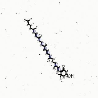 CC(C)=CCC/C(C)=C/C=C/C(C)=C/C=C/C(C)=C/C=C/C=C(\C)CC/C=C(C)/C=C/C1=C(C)CC(O)CC1(C)C